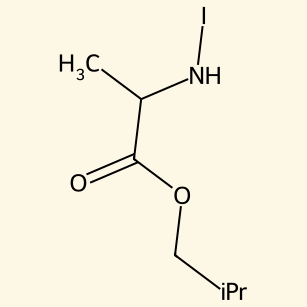 CC(C)COC(=O)C(C)NI